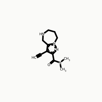 C#Cc1c(C(=O)N(C)C)nn2c1CNCCC2